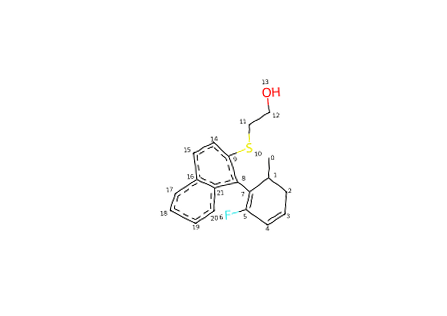 CC1CC=CC(F)=C1c1c(SCCO)ccc2ccccc12